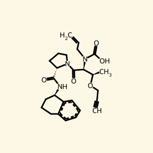 C#CCO[C@H](C)[C@@H](C(=O)N1CCC[C@H]1C(=O)N[C@@H]1CCCc2ccccc21)N(CC=C)C(=O)O